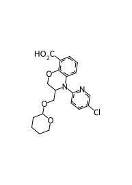 O=C(O)c1cccc2c1OCC(COC1CCCCO1)N2c1ccc(Cl)cn1